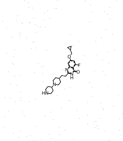 O=c1[nH]c(CCC2CCN(C3CCNCC3)CC2)nc2cc(OCC3CC3)cc(F)c12